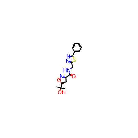 CC(C)(O)c1cc(C(=O)NCc2nnc(-c3ccccc3)s2)no1